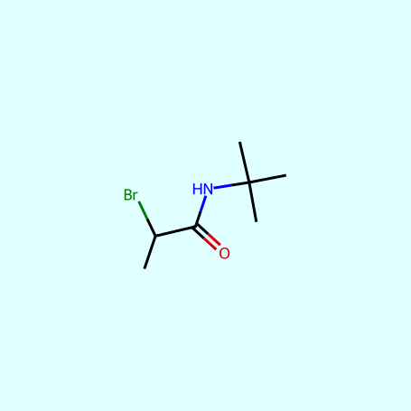 CC(Br)C(=O)NC(C)(C)C